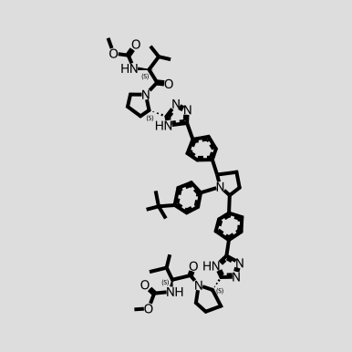 COC(=O)N[C@H](C(=O)N1CCC[C@H]1c1nnc(-c2ccc(C3CCC(c4ccc(-c5nnc([C@@H]6CCCN6C(=O)[C@@H](NC(=O)OC)C(C)C)[nH]5)cc4)N3c3ccc(C(C)(C)C)cc3)cc2)[nH]1)C(C)C